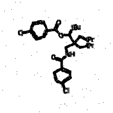 CC(C)CC(CNC(=O)c1ccc(Cl)cc1)(CC(C)C)C(OC(=O)c1ccc(Cl)cc1)C(C)(C)C